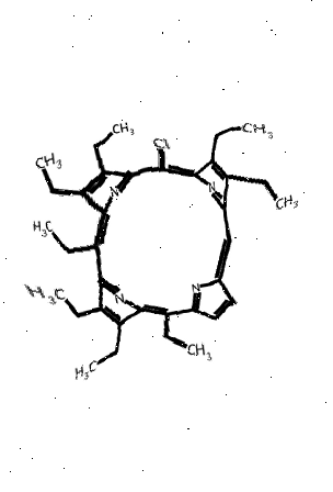 CCC1=C(CC)C2=C(Cl)C3=NC(=C(CC)C4=NC(=C(CC)C5=NC(=CC1=N2)C=C5)C(CC)=C4CC)C(CC)=C3CC